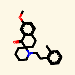 COc1ccc2c(c1)C(=O)C1(CCCCN1CCc1ccccc1C)CC2